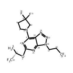 C[C@H](Oc1nc(N2CCC(F)(F)C2)c2nnn(CCC(F)(F)F)c2n1)C(F)(F)F